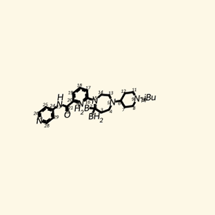 BC1(B)CCN(C2CCN([C@@H](C)CC)CC2)CCN1c1cccc(C(=O)Nc2ccncc2)n1